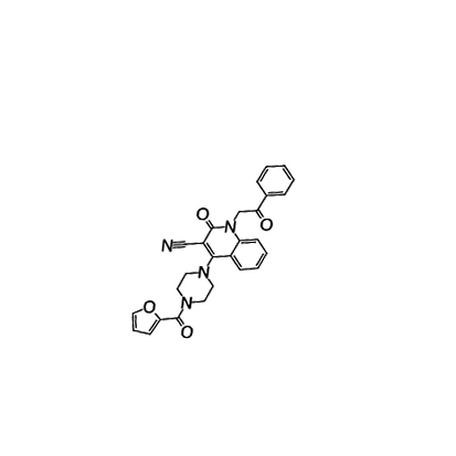 N#Cc1c(N2CCN(C(=O)c3ccco3)CC2)c2ccccc2n(CC(=O)c2ccccc2)c1=O